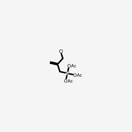 C=C(CCl)C[Si](OC(C)=O)(OC(C)=O)OC(C)=O